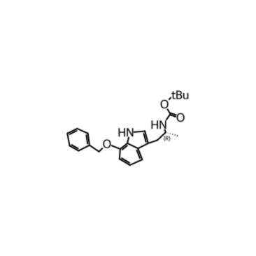 C[C@H](Cc1c[nH]c2c(OCc3ccccc3)cccc12)NC(=O)OC(C)(C)C